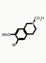 COc1cc2c(cc1Br)CCN(C(=O)O)C2